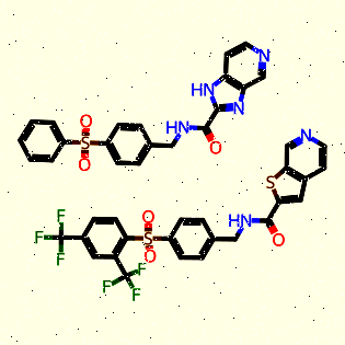 O=C(NCc1ccc(S(=O)(=O)c2ccc(C(F)(F)F)cc2C(F)(F)F)cc1)c1cc2ccncc2s1.O=C(NCc1ccc(S(=O)(=O)c2ccccc2)cc1)c1nc2cnccc2[nH]1